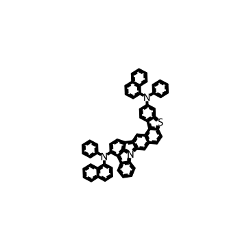 c1ccc(N(c2ccc3c(c2)sc2ccc4cc5c(cc4c23)c2ccc(N(c3ccccc3)c3cccc4ccccc34)c3c4ccccc4n5c23)c2cccc3ccccc23)cc1